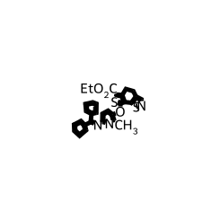 CCOC(=O)c1sc(Oc2ccc(N=C(c3ccccc3)c3ccccc3)nc2C)c2c1CCc1cnsc1-2